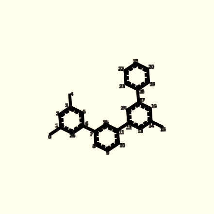 Cc1cc(C)cc(-c2cccc(-c3cc(C)cc(-c4ccccc4)c3)c2)c1